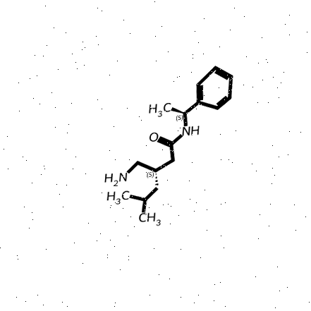 CC(C)C[C@H](CN)CC(=O)N[C@@H](C)c1ccccc1